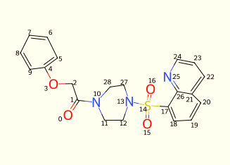 O=C(COc1ccccc1)N1CCN(S(=O)(=O)c2cccc3cccnc23)CC1